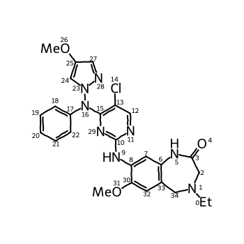 CCN1CC(=O)Nc2cc(Nc3ncc(Cl)c(N(c4ccccc4)n4cc(OC)cn4)n3)c(OC)cc2C1